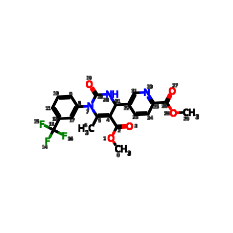 COC(=O)C1=C(C)N(c2cccc(C(F)(F)F)c2)C(=O)NC1c1ccc(C(=O)OC)nc1